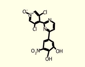 O=[N+]([O-])c1cc(-c2ccnc(-c3c(Cl)c[n+]([O-])cc3Cl)n2)cc(O)c1O